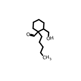 CCCCCC1(C=O)CCCCC1CO